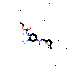 CCOC(=O)Nc1ccc(N(C)Cc2ccc(C)s2)cc1N